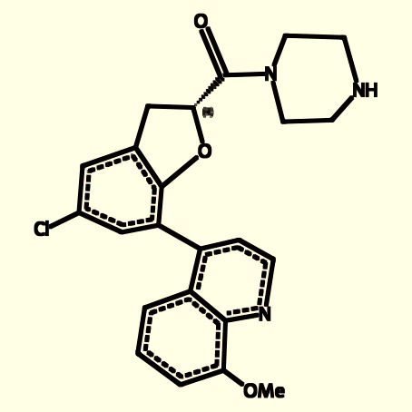 COc1cccc2c(-c3cc(Cl)cc4c3O[C@@H](C(=O)N3CCNCC3)C4)ccnc12